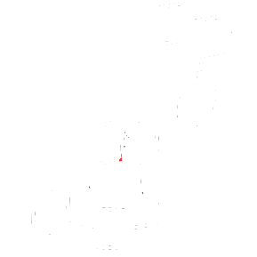 c1ccc(-n2c3ccccc3c3ccc4c5ccccc5n(-c5cccc(-c6ccc7sc8ccc9ccccc9c8c7c6)c5)c4c32)cc1